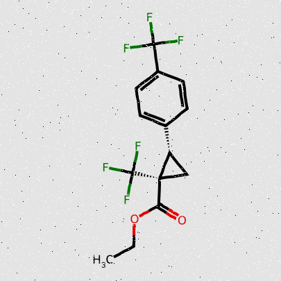 CCOC(=O)[C@]1(C(F)(F)F)C[C@H]1c1ccc(C(F)(F)F)cc1